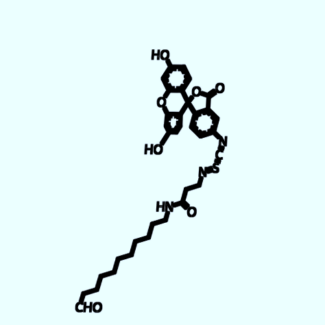 O=CCCCCCCCCCCNC(=O)CCN=S=C=Nc1ccc2c(c1)C(=O)OC21c2ccc(O)cc2Oc2cc(O)ccc21